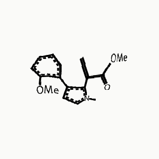 C=C(C(=O)OC)c1c(-c2ccccc2OC)ccn1C